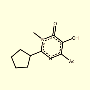 CC(=O)c1nc(C2CCCC2)n(C)c(=O)c1O